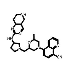 CC1CN(c2ccc(C#N)c3ncccc23)CC(CN2CCC(NC3=NC4CCNCC4C=N3)C2)O1